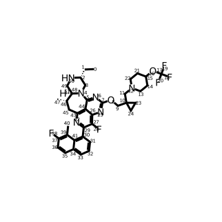 CC[C@@H]1CN2c3nc(OCC4(CN5CCC(OC(F)(F)F)CC5)CC4)nc4c(F)c(-c5cccc6ccc(F)c(C)c56)nc(c34)C[C@H](C)[C@H]2CN1